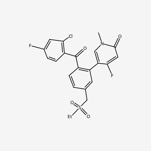 CCS(=O)(=O)Cc1ccc(C(=O)c2ccc(F)cc2Cl)c(-c2cn(C)c(=O)cc2F)c1